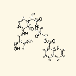 CC(=N)/C(CNc1nccn([C@@H](C)C(=O)NCC(=O)COC(=O)c2cccc3ccccc23)c1=O)=N\O